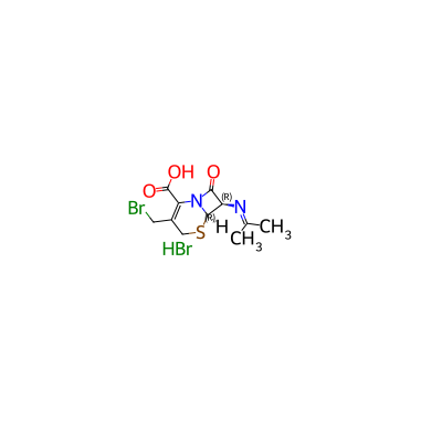 Br.CC(C)=N[C@@H]1C(=O)N2C(C(=O)O)=C(CBr)CS[C@H]12